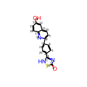 O=c1nc(-c2ccc(-c3ccc4cc(O)ccc4n3)cc2)[nH]s1